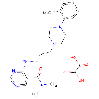 COc1ccccc1N1CCN(CCCNc2ncncc2C(=O)N(C)C)CC1.O=C(O)C(=O)O